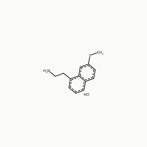 CSc1ccc2cccc(CCN)c2c1.Cl